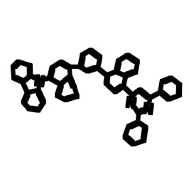 c1ccc(-c2cc(-c3ccc(-c4cccc(-c5ccc(-n6c7ccccc7c7ccccc76)c6ccccc56)c4)c4ccccc34)nc(-c3ccccc3)n2)cc1